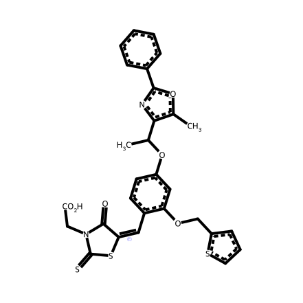 Cc1oc(-c2ccccc2)nc1C(C)Oc1ccc(/C=C2/SC(=S)N(CC(=O)O)C2=O)c(OCc2cccs2)c1